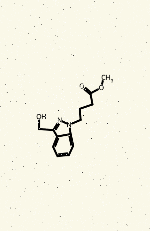 COC(=O)CCCn1nc(CO)c2ccccc21